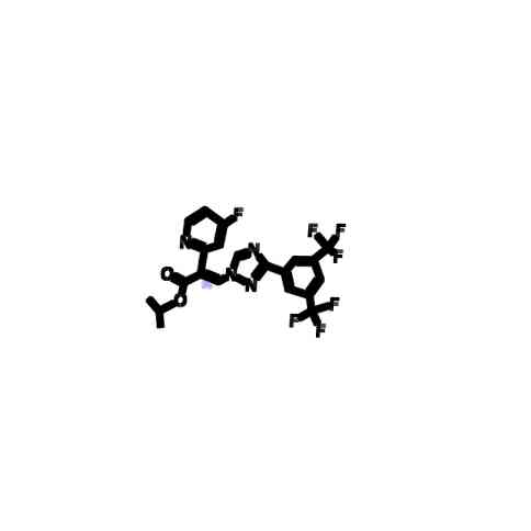 CC(C)OC(=O)/C(=C/n1cnc(-c2cc(C(F)(F)F)cc(C(F)(F)F)c2)n1)c1cc(F)ccn1